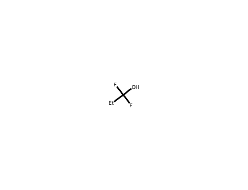 [CH2]CC(O)(F)F